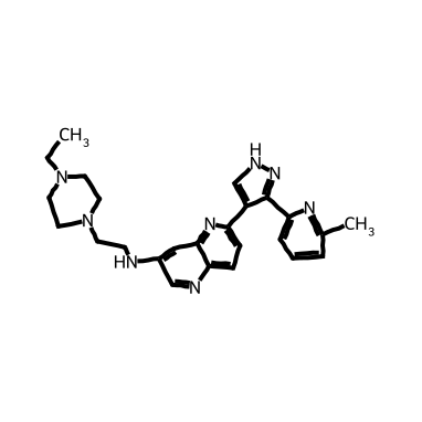 CCN1CCN(CCNc2cnc3ccc(-c4c[nH]nc4-c4cccc(C)n4)nc3c2)CC1